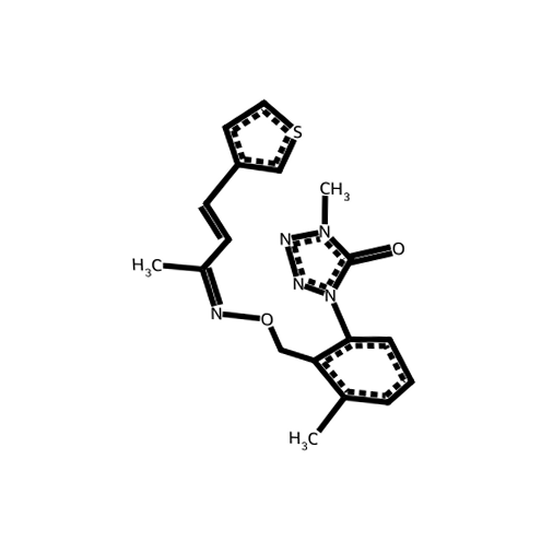 CC(C=Cc1ccsc1)=NOCc1c(C)cccc1-n1nnn(C)c1=O